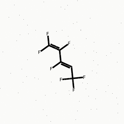 FC(F)=C(F)/C(F)=C/C(F)(F)F